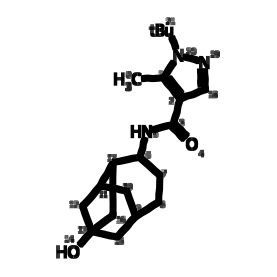 Cc1c(C(=O)NC2CCC3CC4CC(O)(C3)CC42)cnn1C(C)(C)C